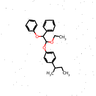 CCOC(Oc1ccc(C(C)CC)cc1)C(Oc1ccccc1)c1ccccc1